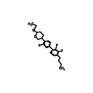 CCCCc1ccc(-c2ccc(C3CCC(OCC)OC3)c(F)c2)c(F)c1F